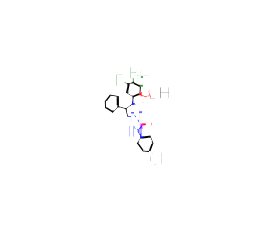 COc1c(C2=NN(C(=O)Nc3ccc(Cl)cc3)CC2c2ccccc2)cc(F)c(Br)c1F